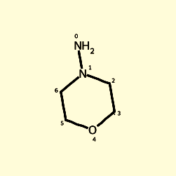 NN1C[CH]OCC1